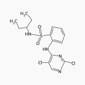 CCC(CC)NS(=O)(=O)c1ccccc1Nc1nc(Cl)ncc1Cl